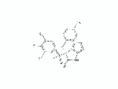 CS(=O)(=O)[C@]1(C(c2ccc(C#N)cc2)c2cc(Cl)c(F)c(Cl)c2)C(=O)Nc2nccn21